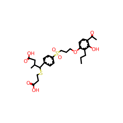 CCCc1c(OCCCS(=O)(=O)c2ccc(C(SCCC(=O)O)C(C)CC(=O)O)cc2)ccc(C(C)=O)c1O